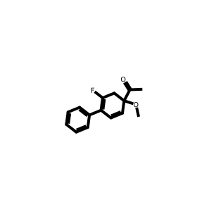 COC1(C(C)=O)C=CC(c2ccccc2)=C(F)C1